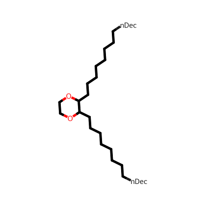 CCCCCCCCCCCCCCCCCCC1OCCOC1CCCCCCCCCCCCCCCCCC